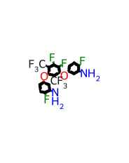 Nc1cc(Oc2c(F)c(F)c(C(F)(F)F)c(Oc3ccc(F)c(N)c3)c2C(F)(F)F)ccc1F